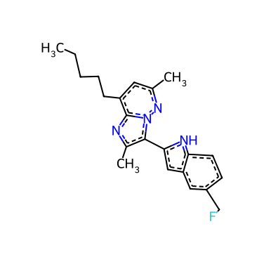 CCCCCc1cc(C)nn2c(-c3cc4cc(CF)ccc4[nH]3)c(C)nc12